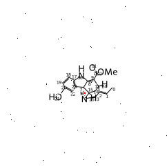 C/C=C1/CN2CC[C@]34C(=C(C(=O)OC)[C@H]1C[C@H]23)Nc1ccc(O)cc14